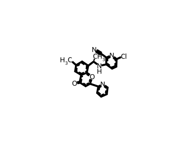 Cc1cc([C@@H](C)Nc2ccc(Cl)nc2C#N)c2oc(-c3ccccn3)cc(=O)c2c1